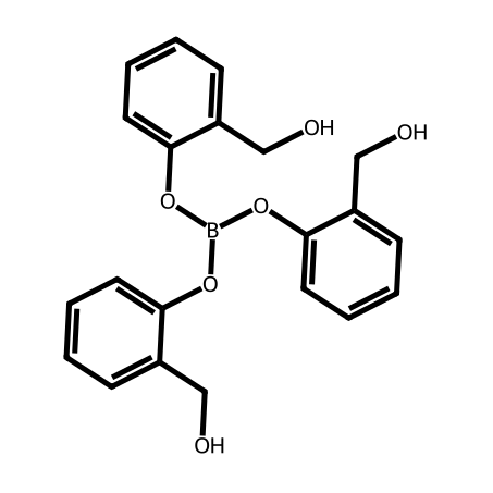 OCc1ccccc1OB(Oc1ccccc1CO)Oc1ccccc1CO